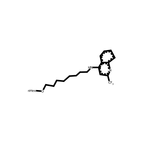 CCCCCCOCCCCCCCCNc1cc(C(F)(F)F)nc2ccccc12